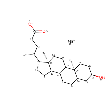 C[C@H](CCC(=O)[O-])[C@H]1CCC2C3CCC4C[C@H](O)CC[C@]4(C)C3CC[C@@]21C.[Na+]